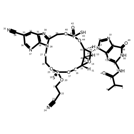 CC(C)C(=O)Nc1nc2c(ncn2[C@@H]2O[C@@H]3COP(=S)(OCCC#N)OCCn4c(nc5cc(C#N)cnc54)COP(=O)(S)O[C@@H]2[C@@H]3F)c(=O)[nH]1